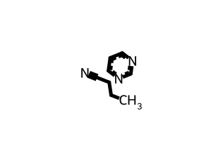 CCCC#N.c1cncnc1